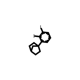 Ic1cccc(C23CCC(CC2)C3)c1I